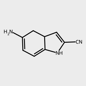 N#CC1=CC2CC(N)=CC=C2N1